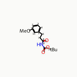 COc1cccc(CCC(=O)NC(=O)OC(C)(C)C)c1